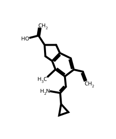 C=Cc1cc2c(c(C)c1/C=C(\N)C1CC1)CC(C(=C)O)C2